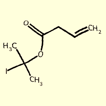 C=CCC(=O)OC(C)(C)I